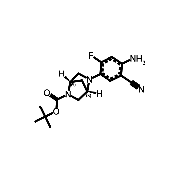 CC(C)(C)OC(=O)N1C[C@@H]2C[C@H]1CN2c1cc(C#N)c(N)cc1F